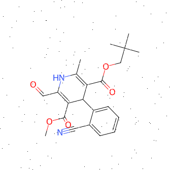 COC(=O)C1=C(C=O)NC(C)=C(C(=O)OCC(C)(C)C)C1c1ccccc1C#N